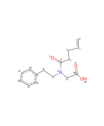 C=CCCC(=O)N(CCc1ccccc1)CC(=O)O